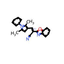 Cc1cc(/C=C(\C#N)c2nc3ccccc3o2)c(C)n1-c1ccccc1